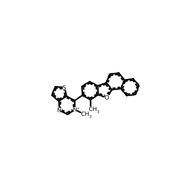 Cc1c(-c2c3sccc3nc[n+]2C)ccc2c1oc1c3ccccc3ccc21